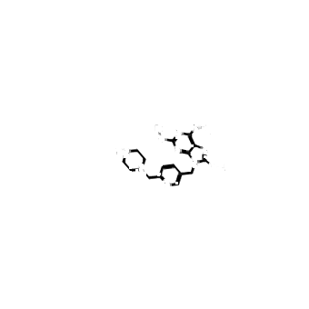 CCOc1nc(N)c2nc(O)n(Cc3ccc(CN4CCNCC4)nc3)c2n1